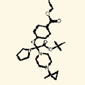 CCOC(=O)C1CCC(OC(C(=O)OC(C)(C)C)(N2CCCC2)N2CCN(C3(C)CC3)CC2)CC1